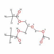 CC(=O)OCOC(COC(=O)C(C)(C)C)COC(=O)C(C)(C)C